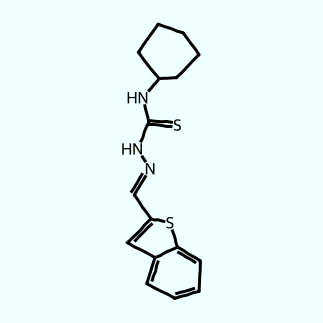 S=C(NN=Cc1cc2ccccc2s1)NC1CCCCC1